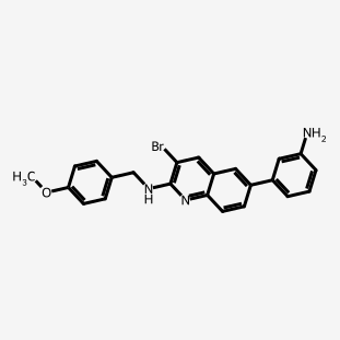 COc1ccc(CNc2nc3ccc(-c4cccc(N)c4)cc3cc2Br)cc1